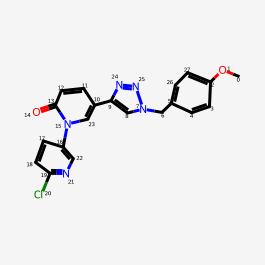 COc1ccc(Cn2cc(-c3ccc(=O)n(-c4ccc(Cl)nc4)c3)nn2)cc1